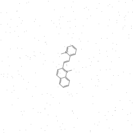 C[n+]1ccccc1C=Cc1ccc2ccccc2[n+]1C